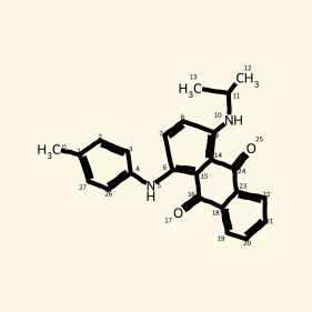 Cc1ccc(Nc2ccc(NC(C)C)c3c2C(=O)c2ccccc2C3=O)cc1